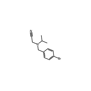 CC(C)N(CC#N)Cc1ccc(Br)cc1